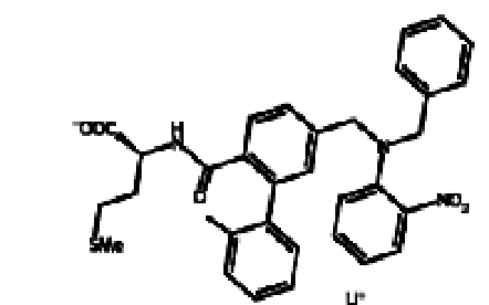 CSCC[C@H](NC(=O)c1ccc(CN(Cc2ccccc2)c2ccccc2[N+](=O)[O-])cc1-c1ccccc1C)C(=O)[O-].[Li+]